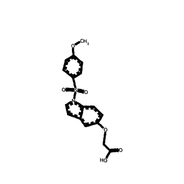 COc1ccc(S(=O)(=O)n2ccc3cc(OCC(=O)O)ccc32)cc1